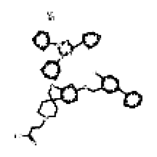 Cl.O=C(O)CCN1CCC2(CC1)COc1cc(OCc3cc(-c4ccccc4)ccc3Cl)ccc12.[Cl-].c1ccc(-c2nn(-c3ccccc3)[n+](-c3ccccc3)n2)cc1